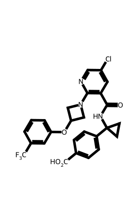 O=C(O)c1ccc(C2(NC(=O)c3cc(Cl)cnc3N3CC(Oc4cccc(C(F)(F)F)c4)C3)CC2)cc1